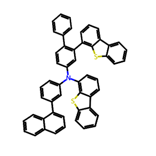 c1ccc(-c2ccc(N(c3cccc(-c4cccc5ccccc45)c3)c3cccc4c3sc3ccccc34)cc2-c2cccc3c2sc2ccccc23)cc1